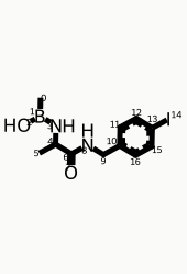 CB(O)NC(C)C(=O)NCc1ccc(I)cc1